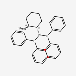 CCCCC[C@H]1CCCC[C@@H]1N(P(c1ccccc1)c1ccccc1)P(c1ccccc1)c1ccccc1